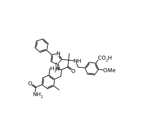 COc1ccc(CNC(C)(C(=O)C(N)Cc2c(C)cc(C(N)=O)cc2C)c2nc(-c3ccccc3)c[nH]2)cc1C(=O)O